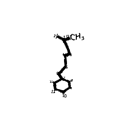 CC(I)CCCCC1CCCCC1